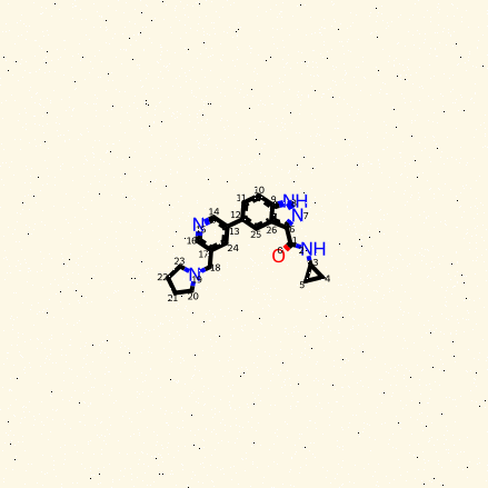 O=C(NC1CC1)c1n[nH]c2ccc(-c3cncc(CN4CCCC4)c3)cc12